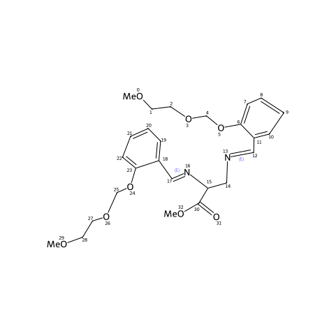 COCCOCOc1ccccc1/C=N/CC(/N=C/c1ccccc1OCOCCOC)C(=O)OC